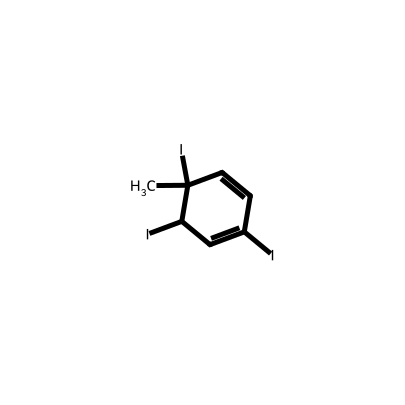 CC1(I)C=CC(I)=CC1I